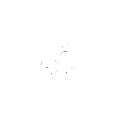 NC(N)=O.O=C(NC(=O)c1c(Cl)cccc1Cl)Nc1ccccc1